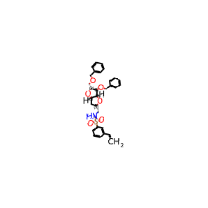 C=Cc1cccc(S(=O)(=O)NC[C@@H]2C[C@@H]3O[C@H](COCc4ccccc4)[C@@H](OCc4ccccc4)[C@@H]3O2)c1